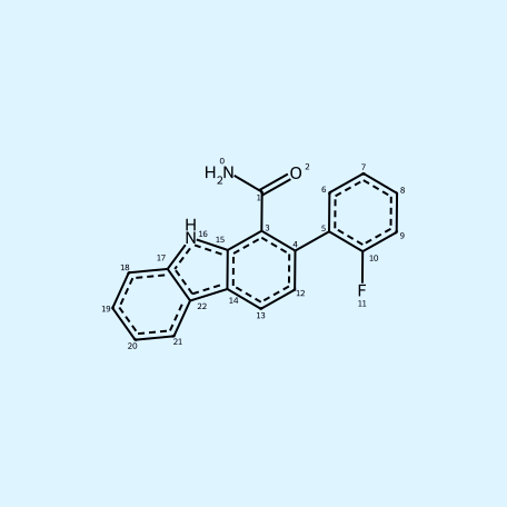 NC(=O)c1c(-c2ccccc2F)ccc2c1[nH]c1ccccc12